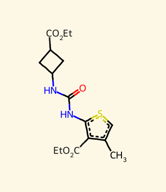 CCOC(=O)c1c(C)csc1NC(=O)NC1CC(C(=O)OCC)C1